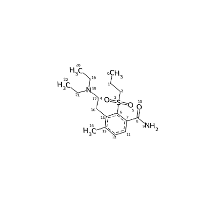 CCCS(=O)(=O)c1c(C(N)=O)ccc(C)c1CCN(CC)CC